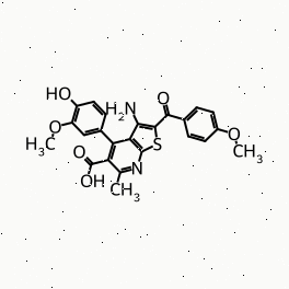 COc1ccc(C(=O)c2sc3nc(C)c(C(=O)O)c(-c4ccc(O)c(OC)c4)c3c2N)cc1